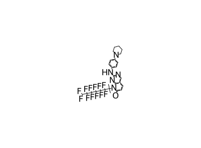 CC(C)(n1c(=O)ccc2cnc(Nc3ccc(N4CCCCC4)cc3)nc21)C(F)(F)C(F)(F)C(F)(F)C(F)(F)C(F)(F)C(F)F